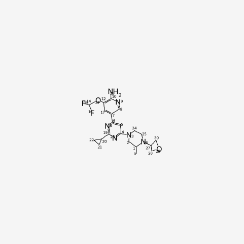 CC1CN(c2cc(-c3cnc(N)c(OC(F)F)c3)nc(C3CC3)n2)CCN1C1COC1